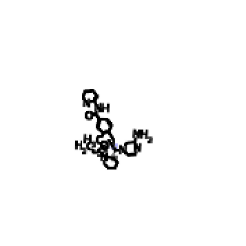 C=C[S+]([O-])N1CCCC[C@H]1/C(=N/Cc1ccc(C(=O)Nc2ccccn2)cc1C)N1C=CN=C(N)C1